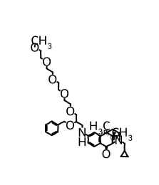 COCCOCCOCCOCCOCC(CNc1ccc2c(c1)[C@]1(C)CCN(CC3CC3)C(C2=O)[C@@H]1C)OCc1ccccc1